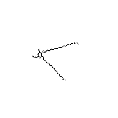 CCCCCCCCCCCCCCCCOc1c(CCCCCCCCCCCCCCCC)oc(CO)cc1=O